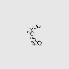 CCN(CC)CC(C)Nc1ccc(NC=C2C(=O)Nc3ccccc32)cc1F